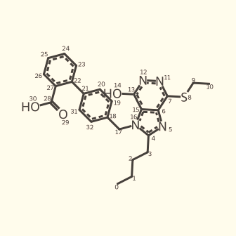 CCCCc1nc2c(SCC)nnc(O)c2n1Cc1ccc(-c2ccccc2C(=O)O)cc1